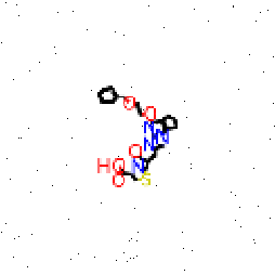 O=C(O)C1=CSC2C(=Cc3cn4c5c(c(OCCOCc6ccccc6)nc4n3)CCC5)C(=O)N12